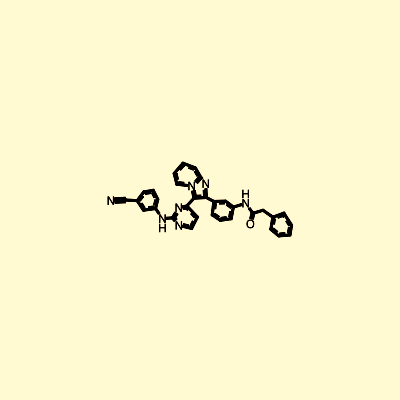 N#Cc1cccc(Nc2nccc(-c3c(-c4cccc(NC(=O)Cc5ccccc5)c4)nc4ccccn34)n2)c1